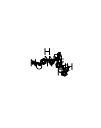 CN(C)/C=C/C(=O)c1ccc(Nc2nccc(-c3sc(C(C)(C)C)nc3-c3cccc(NS(=O)(=O)c4c(F)cccc4F)c3F)n2)cc1